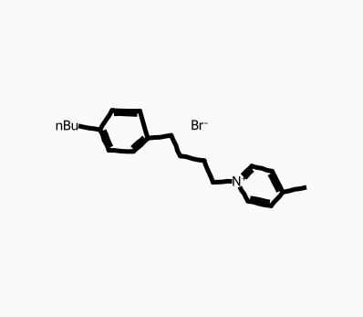 CCCCc1ccc(CCCC[n+]2ccc(C)cc2)cc1.[Br-]